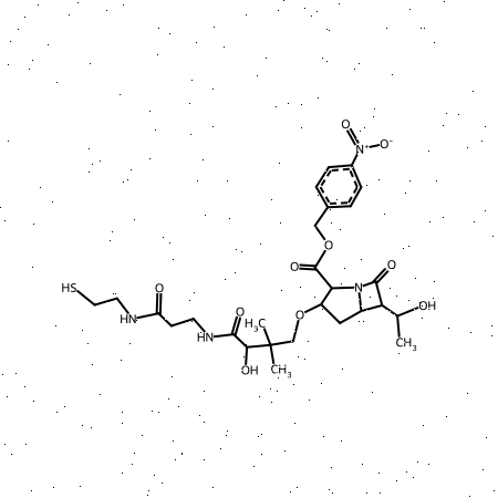 CC(O)C1C(=O)N2C1CC(OCC(C)(C)C(O)C(=O)NCCC(=O)NCCS)C2C(=O)OCc1ccc([N+](=O)[O-])cc1